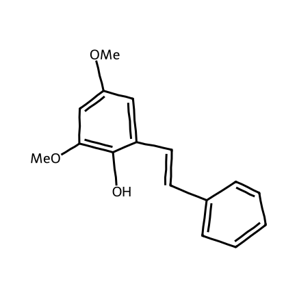 COc1cc(/C=C/c2ccccc2)c(O)c(OC)c1